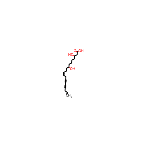 C=CCC#CC#CC/C=C\CCC(O)CCCCC(O)CC(=O)O